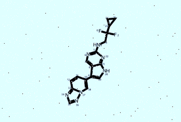 FC(F)(CNc1ncc2c(-c3ccc4ncnn4c3)c[nH]c2n1)C1CC1